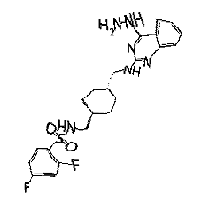 NNc1nc(NC[C@H]2CC[C@H](CNS(=O)(=O)c3ccc(F)cc3F)CC2)nc2ccccc12